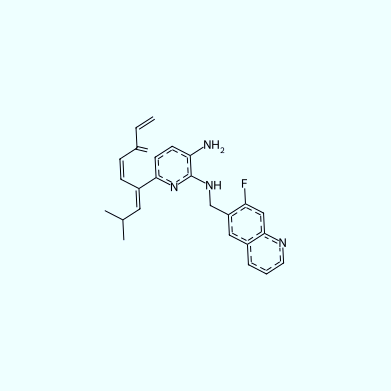 C=CC(=C)/C=C\C(=C/C(C)C)c1ccc(N)c(NCc2cc3cccnc3cc2F)n1